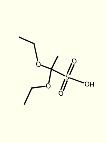 CCOC(C)(OCC)S(=O)(=O)O